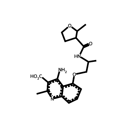 Cc1nc2cccc(OCC(C)NC(=O)C3CCOC3C)c2c(N)c1C(=O)O